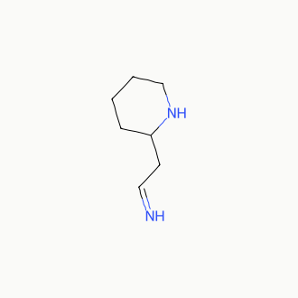 N=CCC1CCCCN1